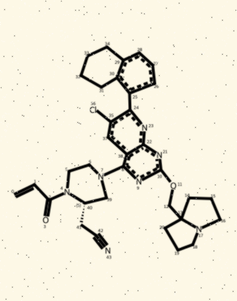 C=CC(=O)N1CCN(c2nc(OCC34CCCN3CCC4)nc3nc(-c4cccc5c4CCCC5)c(Cl)cc23)C[C@@H]1CC#N